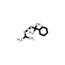 CC(C)N=C=NC(C)(C)C1CCCCC1